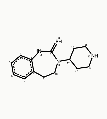 B=C1Nc2ccccc2CCN1C1CCNCC1